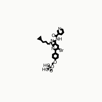 O=C(Nc1nn(CCCC2CC2)c2nc(-c3ccc(OCOP(=O)(O)O)cc3)c(Br)cc12)c1cccnc1